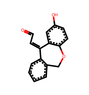 O=CC=C1c2ccccc2COc2ccc(O)cc21